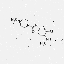 CNc1cc2oc(N3CCN(C)CC3)nc2cc1Cl